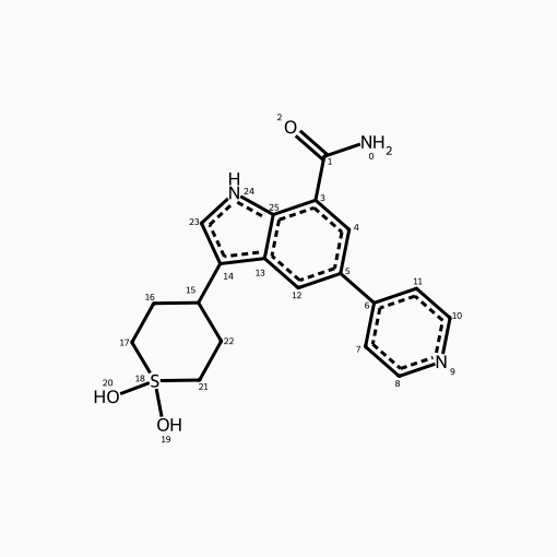 NC(=O)c1cc(-c2ccncc2)cc2c(C3CCS(O)(O)CC3)c[nH]c12